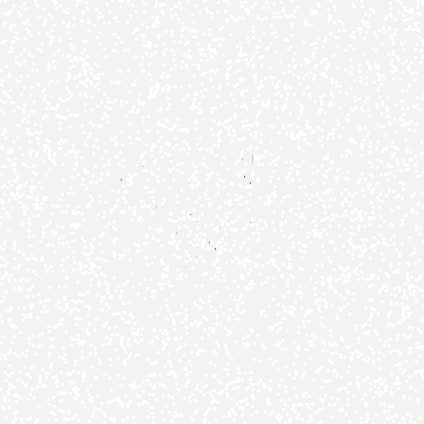 Cc1cc(-c2nc(Cl)cn2CC2CCCCO2)cn(C)c1=O